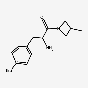 CC1CN(C(=O)C(N)Cc2ccc(C(C)(C)C)cc2)C1